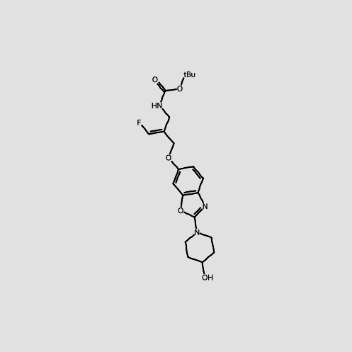 CC(C)(C)OC(=O)NCC(=CF)COc1ccc2nc(N3CCC(O)CC3)oc2c1